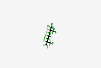 FC(F)C(F)(C(F)(F)F)C(F)(F)C(F)(F)C(F)(F)C(F)(C(F)(F)F)C(F)(F)F